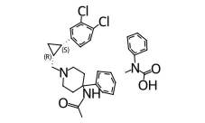 CC(=O)NC1(c2ccccc2)CCN(C[C@@H]2C[C@@H]2c2ccc(Cl)c(Cl)c2)CC1.CN(C(=O)O)c1ccccc1